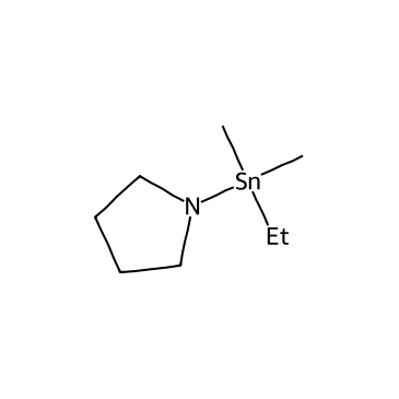 C[CH2][Sn]([CH3])([CH3])[N]1CCCC1